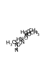 CSc1nc(C#N)cc2cnc(N[C@H]3CCCN(C(=O)OC(C)(C)C)C3)cc12